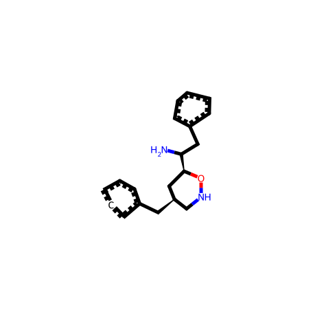 NC(Cc1ccccc1)[C@@H]1C[C@H](Cc2ccccc2)CNO1